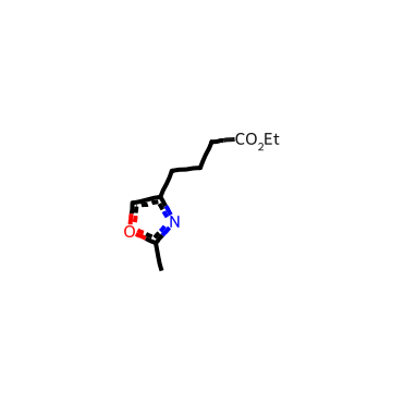 CCOC(=O)CCCc1coc(C)n1